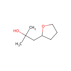 CC(C)(O)CC1CCCO1